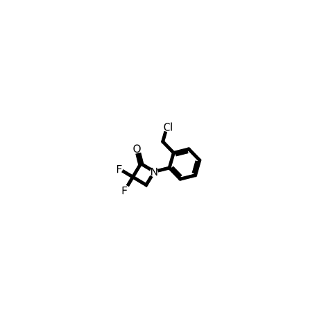 O=C1N(c2ccccc2CCl)CC1(F)F